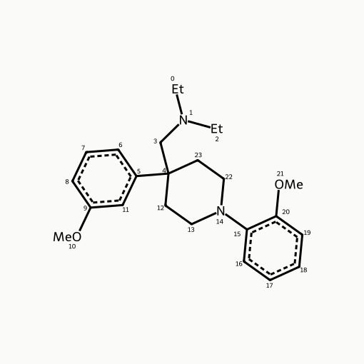 CCN(CC)CC1(c2cccc(OC)c2)CCN(c2ccccc2OC)CC1